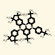 CC(C)(C)c1ccc(N2c3ccc(C(C)(C)C)cc3B3c4cc5c(cc4N(c4ccc6c(c4)C(C)(C)CC6(C)C)c4cc(C(C)(C)C)cc2c43)C(C)(C)CC5(C)C)cc1